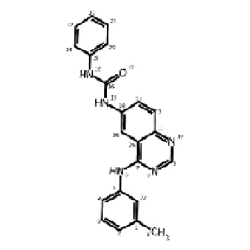 Cc1cccc(Nc2ncnc3ccc(NC(=O)Nc4ccccc4)cc23)c1